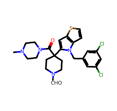 CN1CCN(C(=O)C2(c3cc4sccc4n3Cc3cc(Cl)cc(Cl)c3)CCN(C=O)CC2)CC1